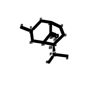 CN1CC2CC[C@H](N(C)C)C(C1)C2=O